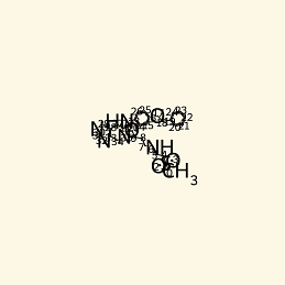 CS(=O)(=O)CCNCCCOC1(Nc2ccc(OCc3ccccc3)cc2)Cc2cncnc2C=N1